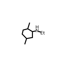 CCNC1CC(C)CCC1C